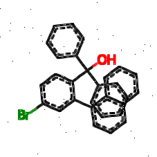 OC(c1ccccc1)(c1ccccc1)c1ccc(Br)cc1-c1cccc2ccccc12